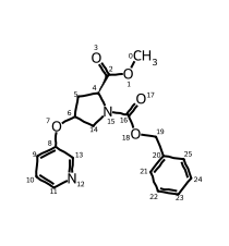 COC(=O)[C@@H]1CC(Oc2cccnc2)CN1C(=O)OCc1ccccc1